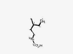 CC(CO)CCNC(=O)O